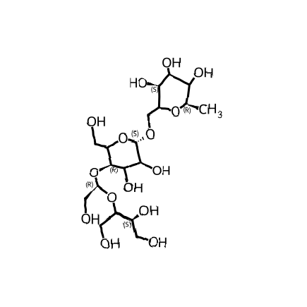 C[C@H]1OC(CO[C@H]2OC(CO)[C@H](O[C@H](CO)OC(CO)[C@@H](O)CO)C(O)C2O)[C@@H](O)C(O)C1O